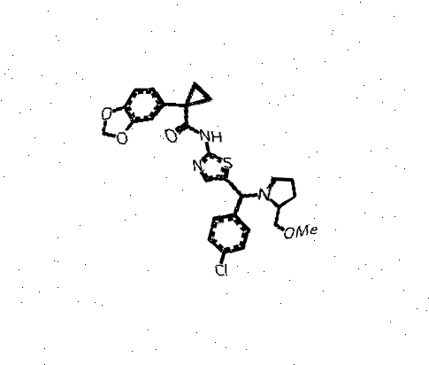 COCC1CCCN1C(c1ccc(Cl)cc1)c1cnc(NC(=O)C2(c3ccc4c(c3)OCO4)CC2)s1